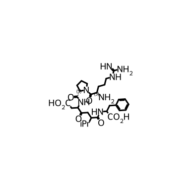 CC(C)C(CC(=O)C(CC(=O)O)NC(=O)[C@@H]1CCCN1C(=O)[C@@H](N)CCCNC(=N)N)C(=O)NC(Cc1ccccc1)C(=O)O